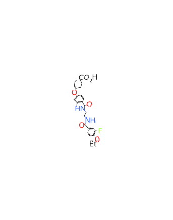 CCOc1ccc(C(=O)NCCNC(=O)c2ccc(O[C@H]3CC[C@@H](C(=O)O)CC3)cc2C)cc1F